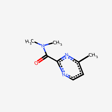 Cc1ccnc(C(=O)N(C)C)n1